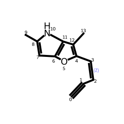 C#C/C=C\c1oc2cc(C)[nH]c2c1C